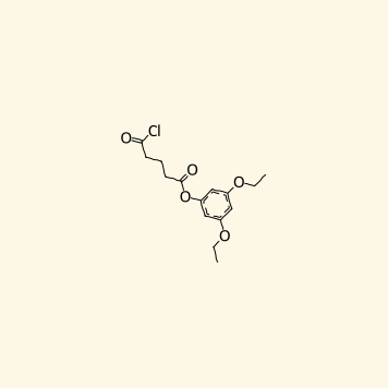 CCOc1cc(OCC)cc(OC(=O)CCCC(=O)Cl)c1